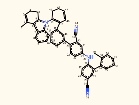 CC1=CCCc2c1c1ccccc1n2C1=C(c2cccc(-c3ccc(Nc4ccc(C#N)cc4-c4ccccc4C)cc3C#N)c2)C=CCC1